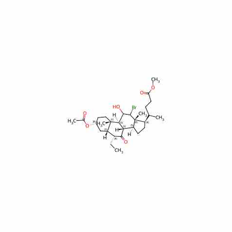 CC[C@H]1C(=O)[C@@H]2[C@H](C(O)C(Br)[C@]3(C)[C@@H](C(C)CCC(=O)OC)CC[C@@H]23)[C@@]2(C)CC[C@@H](OC(C)=O)C[C@@H]12